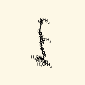 C=C(C)C(=O)OCCCCCCOc1ccc(C(=O)Oc2ccc(OC(=O)/C=C/c3ccc(-c4ccc(OCCC(C)(COC(=O)C(=C)C)COC(=O)C(=C)C)cc4)cc3)c(CC)c2)cc1